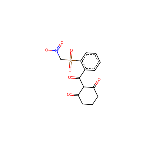 O=C1CCCC(=O)C1C(=O)c1ccccc1S(=O)(=O)C[N+](=O)[O-]